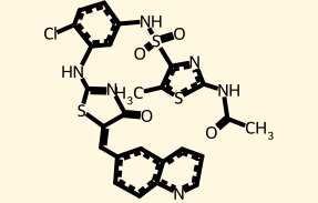 CC(=O)Nc1nc(S(=O)(=O)Nc2ccc(Cl)c(NC3=NC(=O)C(=Cc4ccc5ncccc5c4)S3)c2)c(C)s1